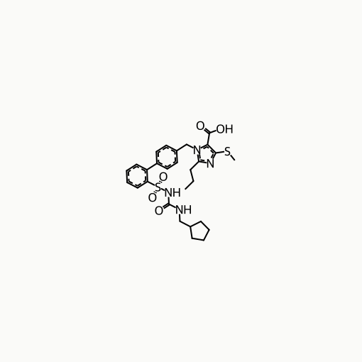 CCCc1nc(SC)c(C(=O)O)n1Cc1ccc(-c2ccccc2S(=O)(=O)NC(=O)NCC2CCCC2)cc1